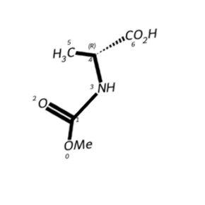 COC(=O)N[C@H](C)C(=O)O